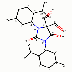 CC1CCC(C(C)C)C(N2C(=O)N(C3CC(C)CCC3C(C)C)C(C=O)(C=O)C2=O)C1